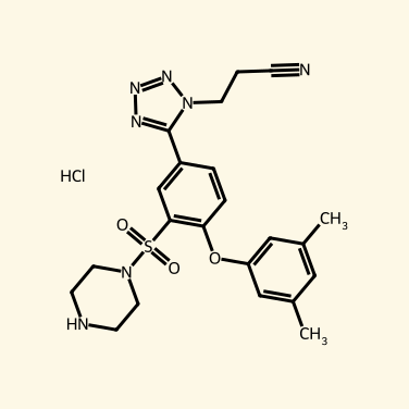 Cc1cc(C)cc(Oc2ccc(-c3nnnn3CCC#N)cc2S(=O)(=O)N2CCNCC2)c1.Cl